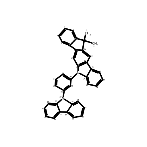 CC1(C)c2ccccc2-c2cc3c(cc21)c1ccccc1n3-c1cccc(-n2c3ccccc3c3ccccc32)c1